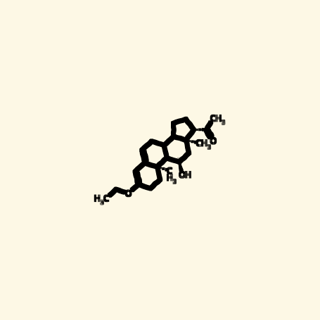 CCOC1=CC2=CCC3C([C@H](O)C[C@@]4(C)C3CC[C@@H]4C(C)=O)[C@@]2(C)CC1